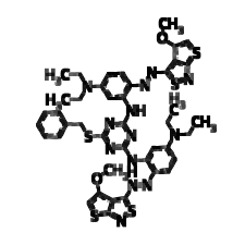 CCN(CC)c1ccc(/N=N/c2snc3scc(OC)c23)c(Nc2nc(Nc3cc(N(CC)CC)ccc3/N=N/c3snc4scc(OC)c34)nc(SCc3ccccc3)n2)c1